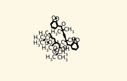 CC(C)(C#CC(C)(C)C(=O)c1cccc2ooc12)C(=O)c1cccc2ooc12.CCCCC(CC(=O)O)C(C)(OOC(C)(C)C)OOC(C)(C)C